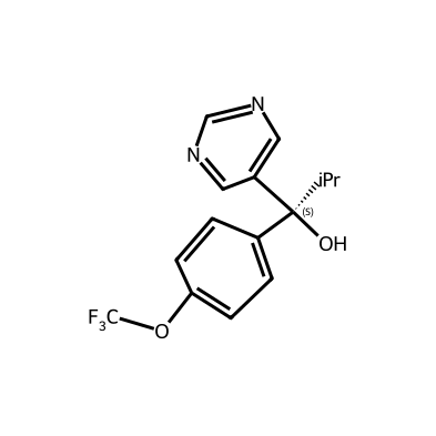 CC(C)[C@](O)(c1ccc(OC(F)(F)F)cc1)c1cncnc1